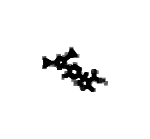 CC1=C(C(N)=O)C(C)(c2ccc(-n3nc(C4CC4)cc3C3CC3)c(F)c2)NO1